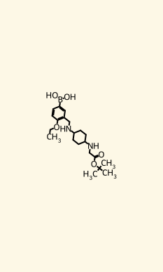 CCOc1ccc(B(O)O)cc1CNC1CCC(NCC(=O)OC(C)(C)C)CC1